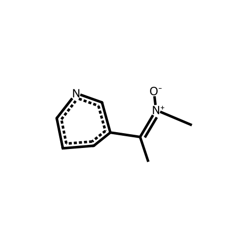 CC(c1cccnc1)=[N+](C)[O-]